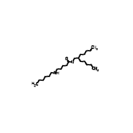 CCCCCCNCCCCC(=O)OCC(CCCCC)CCCCC